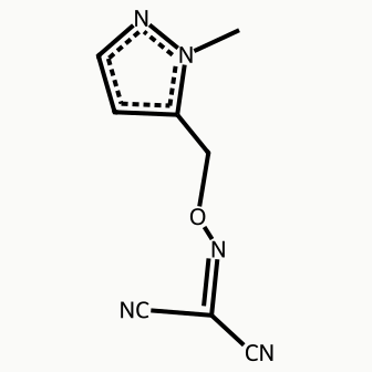 Cn1nccc1CON=C(C#N)C#N